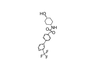 O=S(=O)(N[C@H]1CC[C@H](O)CC1)c1ccc(-c2cccc(C(F)(F)F)c2)cc1